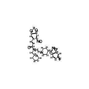 O=Nc1cc2c(cc1/C=C/C(=O)NC[C@@H]1CCCC[C@H]1CN1CCC(c3noc4cc(F)ccc34)CC1)OCO2